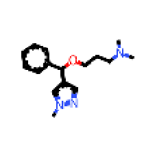 CN(C)CCCOC(c1ccccc1)c1cnn(C)c1